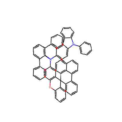 c1ccc(-c2cccc(-c3ccccc3)c2N(c2ccc3c(c2)C2(c4ccccc4O3)c3ccccc3-c3cccc4cccc2c34)c2ccc3c(c2)c2ccccc2n3-c2ccccc2)cc1